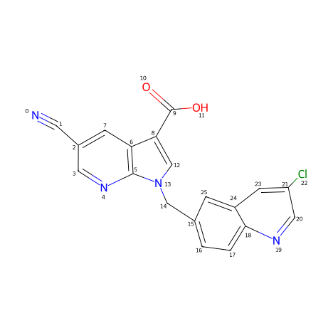 N#Cc1cnc2c(c1)c(C(=O)O)cn2Cc1ccc2ncc(Cl)cc2c1